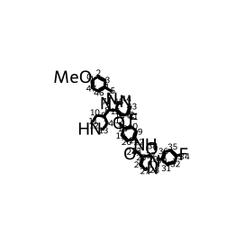 COc1ccc(Cn2nc(C3CCNCC3)c3c(Oc4ccc(NC(=O)c5ccnn(-c6ccc(F)cc6)c5=O)cc4F)ccnc32)cc1